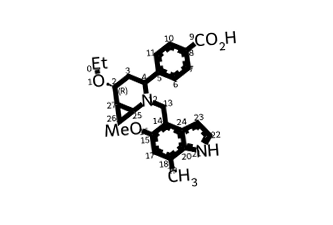 CCO[C@@H]1CC(c2ccc(C(=O)O)cc2)N(Cc2c(OC)cc(C)c3[nH]ccc23)C2CC21